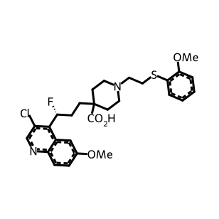 COc1ccc2ncc(Cl)c([C@H](F)CCC3(C(=O)O)CCN(CCSc4ccccc4OC)CC3)c2c1